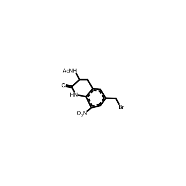 CC(=O)NC1Cc2cc(CBr)cc([N+](=O)[O-])c2NC1=O